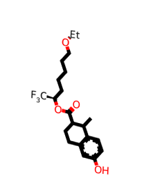 CCOCCCCC[C@@H](OC(=O)C1CCc2cc(O)ccc2C1C)C(F)(F)F